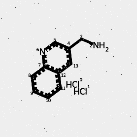 Cl.Cl.NCc1cnc2ccccc2c1